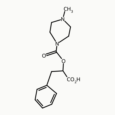 CN1CCN(C(=O)OC(Cc2ccccc2)C(=O)O)CC1